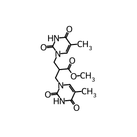 COC(=O)C(Cn1cc(C)c(=O)[nH]c1=O)Cn1cc(C)c(=O)[nH]c1=O